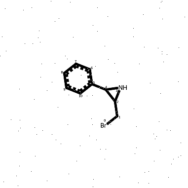 BrCC1NC1c1ccccc1